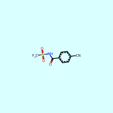 N#Cc1ccc(C(=O)NS(=O)(=O)C(F)(F)F)cc1